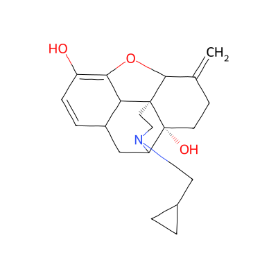 C=C1CC[C@@]2(O)C3CC4C=CC(O)=C5OC1[C@]2(CCN3CC1CC1)C54